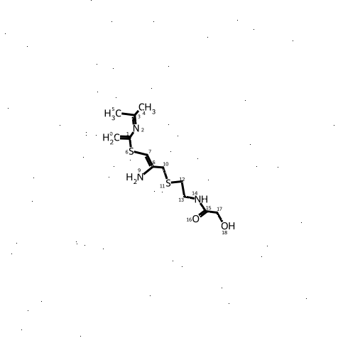 C=C(N=C(C)C)S/C=C(\N)CSCCNC(=O)CO